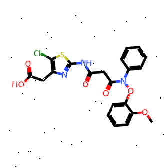 COc1ccccc1ON(C(=O)CC(=O)Nc1nc(CC(=O)O)c(Cl)s1)c1ccccc1